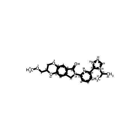 COCC1COc2cc3c(cc2O1)CN(c1cccc(-c2nncn2C(C)C)n1)C3=O